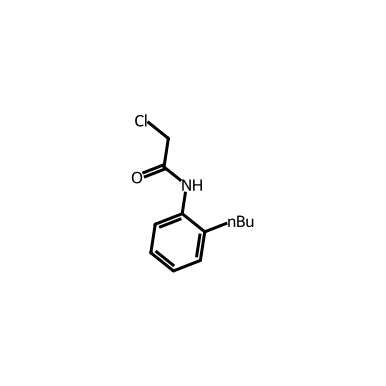 CCCCc1ccccc1NC(=O)CCl